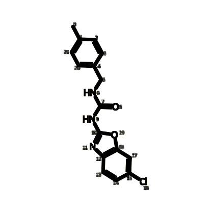 Cc1ccc(CNC(=O)Nc2nc3ccc(Cl)cc3o2)cc1